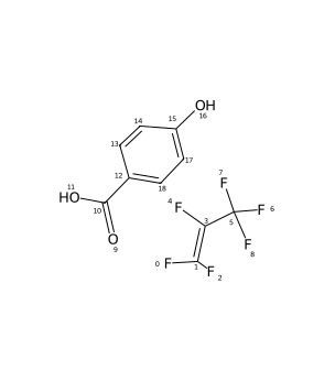 FC(F)=C(F)C(F)(F)F.O=C(O)c1ccc(O)cc1